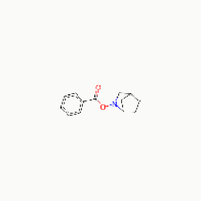 O=C(ON1CC2CCC1C2)c1ccccc1